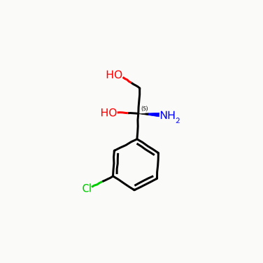 N[C@@](O)(CO)c1cccc(Cl)c1